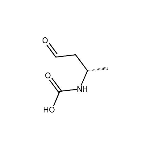 C[C@@H](CC=O)NC(=O)O